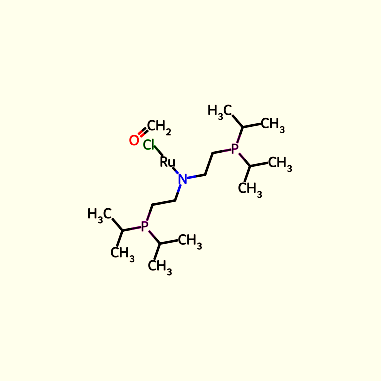 C=O.CC(C)P(CC[N](CCP(C(C)C)C(C)C)[Ru][Cl])C(C)C